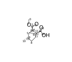 COC(=O)[C@@H]1C2CC(C[C@@H]2C)[C@@H]1C(=O)O